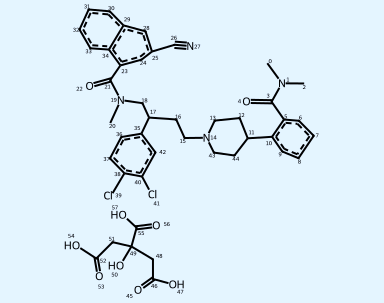 CN(C)C(=O)c1ccccc1C1CCN(CCC(CN(C)C(=O)c2cc(C#N)cc3ccccc23)c2ccc(Cl)c(Cl)c2)CC1.O=C(O)CC(O)(CC(=O)O)C(=O)O